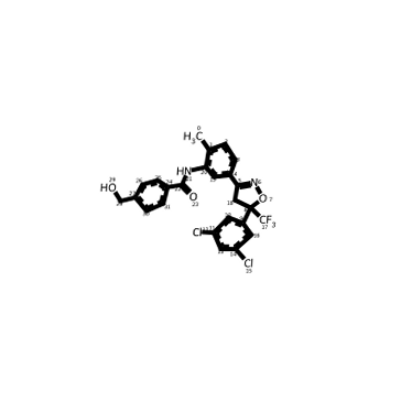 Cc1ccc(C2=NOC(c3cc(Cl)cc(Cl)c3)(C(F)(F)F)C2)cc1NC(=O)c1ccc(CO)cc1